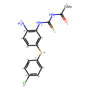 COC(=O)NC(=S)Nc1cc(Sc2ccc(Cl)cc2)ccc1N